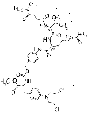 COC(=O)C(Cc1ccc(N(CCCl)CCCl)cc1)NC(=O)OCc1ccc(NC(=O)[C@H](CCCNC(N)=O)NC(=O)[C@@H](NC(=O)CCC(=O)C(C)C)C(C)C)cc1